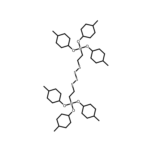 CC1CCC(O[Si](CCSSSSCC[Si](OC2CCC(C)CC2)(OC2CCC(C)CC2)OC2CCC(C)CC2)(OC2CCC(C)CC2)OC2CCC(C)CC2)CC1